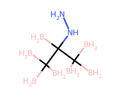 BC(B)(B)C(B)(NN)C(B)(B)B